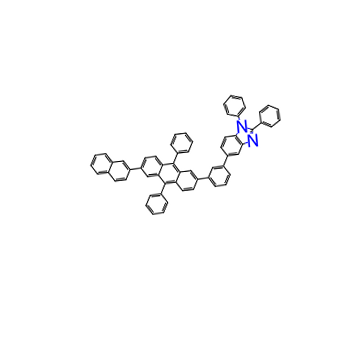 c1ccc(-c2c3ccc(-c4ccc5ccccc5c4)cc3c(-c3ccccc3)c3ccc(-c4cccc(-c5ccc6c(c5)nc(-c5ccccc5)n6-c5ccccc5)c4)cc23)cc1